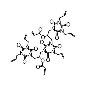 C=CCn1c(=O)n(CC=C)c(=O)n(CC(Cn2c(=O)n(CC=C)c(=O)n(CC(Cn3c(=O)n(CC=C)c(=O)n(CC=C)c3=O)OC(=O)C=C)c2=O)OC(=O)C=C)c1=O